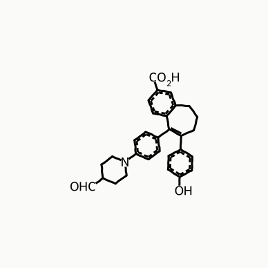 O=CC1CCN(c2ccc(C3=C(c4ccc(O)cc4)CCCc4cc(C(=O)O)ccc43)cc2)CC1